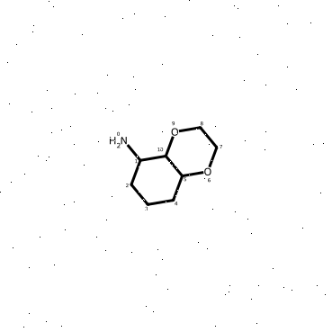 NC1CCCC2OCCOC12